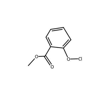 COC(=O)c1ccccc1OCl